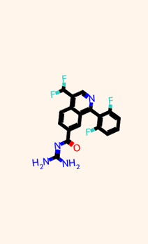 NC(N)=NC(=O)c1ccc2c(C(F)F)cnc(-c3c(F)cccc3F)c2c1